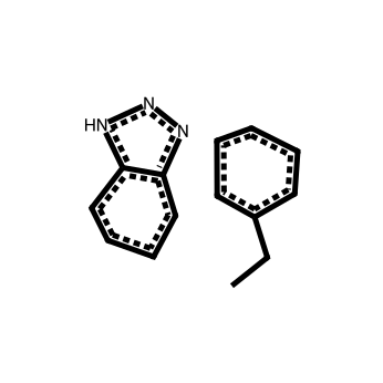 CCc1ccccc1.c1ccc2[nH]nnc2c1